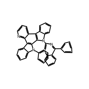 c1ccc(-c2nc(-n3c4ccccc4c4c5cccnc5c5c6ccccc6n(-c6ccccc6)c5c43)nc3ccccc23)cc1